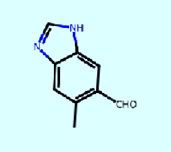 Cc1cc2nc[nH]c2cc1C=O